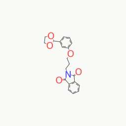 O=C1c2ccccc2C(=O)N1CCCOc1cccc(C2OCCO2)c1